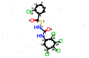 O=C(NSC(=O)c1ccccc1Cl)Nc1cc(Cl)c(Cl)c(Cl)c1Cl